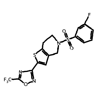 O=S(=O)(c1cccc(F)c1)N1CCc2sc(-c3noc(C(F)(F)F)n3)cc2C1